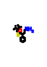 CC(C)C(C)(OC(=S)C(CCN)c1ccccc1)C(C)C